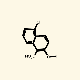 O=C(O)c1c(OI)ccc2c(Cl)cccc12